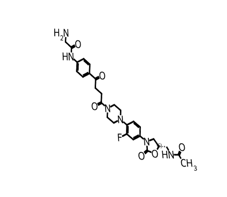 CC(=O)NC[C@H]1CN(c2ccc(N3CCN(C(=O)CCC(=O)c4ccc(NC(=O)CN)cc4)CC3)c(F)c2)C(=O)O1